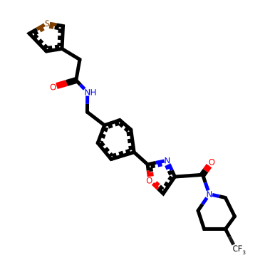 O=C(Cc1ccsc1)NCc1ccc(-c2nc(C(=O)N3CCC(C(F)(F)F)CC3)co2)cc1